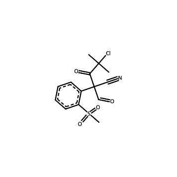 CC(C)(Cl)C(=O)C(C#N)(C=O)c1ccccc1S(C)(=O)=O